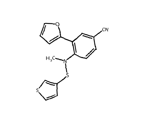 CN(Sc1ccsc1)c1ccc(C#N)cc1-c1ccco1